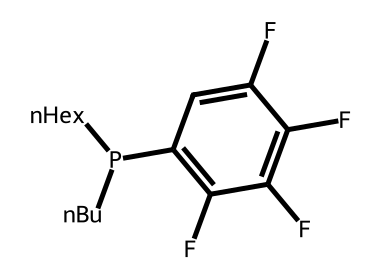 CCCCCCP(CCCC)c1cc(F)c(F)c(F)c1F